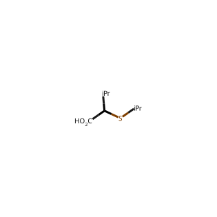 CC(C)SC(C(=O)O)C(C)C